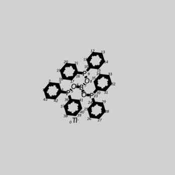 [Tl].c1ccc(P(OB(OP(c2ccccc2)c2ccccc2)OP(c2ccccc2)c2ccccc2)c2ccccc2)cc1